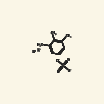 Cc1cccc(C)c1C.O=S(=O)([O-])[O-].[K+].[K+]